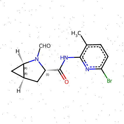 Cc1ccc(Br)nc1NC(=O)[C@@H]1C[C@H]2C[C@H]2N1C=O